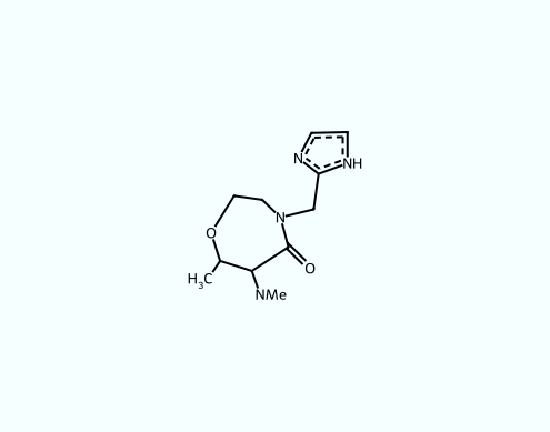 CNC1C(=O)N(Cc2ncc[nH]2)CCOC1C